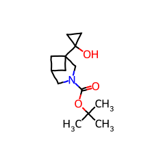 CC(C)(C)OC(=O)N1CC2CC(C3(O)CC3)(C2)C1